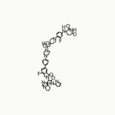 O=C1CCC(Nc2ccc(N3CCC(O)(CC(=O)N4CCN(c5ccc(-c6cc(F)c7c(c6)C(=O)N(C(C(=O)NC6=NC=CC6)c6ncn8c6CCC8)C7)cc5)CC4)CC3)c(F)c2)C(=O)N1